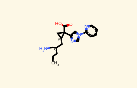 CCC[C@@H](CN)C[C@H]1CC1(C(=O)O)c1cn(-c2ccccn2)cn1